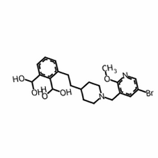 COc1ncc(Br)cc1CN1CCC(CCc2cccc(C(O)O)c2C(O)O)CC1